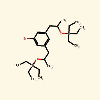 CC[Si](CC)(CC)OC(C)Cc1cc(Br)cc(CC(C)O[Si](CC)(CC)CC)c1